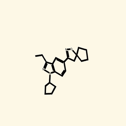 CCc1nn(C2CCCC2)c2ccc(C3=NOC4(CCCC4)C3)cc12